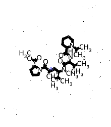 COC(=O)[C@H]1CCCN1C(=O)/C(C)=C/[C@H](C(C)C)N(C)C(=O)[C@@H](NC(=O)C1CCCCN1C(C)C)C(C)C